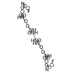 CN(C)C1Cc2ccc(F)cc2[C@@H]1Oc1ccc(S(=O)(=O)NCCOCCOCCNC(=O)NCCCCNC(=O)NCCOCCOCCNS(=O)(=O)c2ccc(O[C@H]3c4cc(F)ccc4C[C@@H]3N(C)C)cc2)cc1